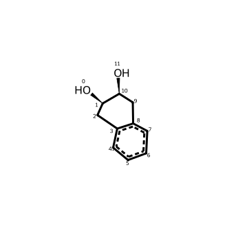 O[C@@H]1Cc2[c]cccc2C[C@@H]1O